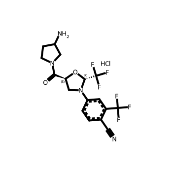 Cl.N#Cc1ccc(N2C[C@@H](C(=O)N3CCC(N)C3)O[C@@H]2C(F)(F)F)cc1C(F)(F)F